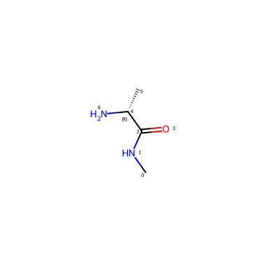 CNC(=O)[C@@H](C)N